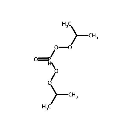 CC(C)OO[PH](=O)OOC(C)C